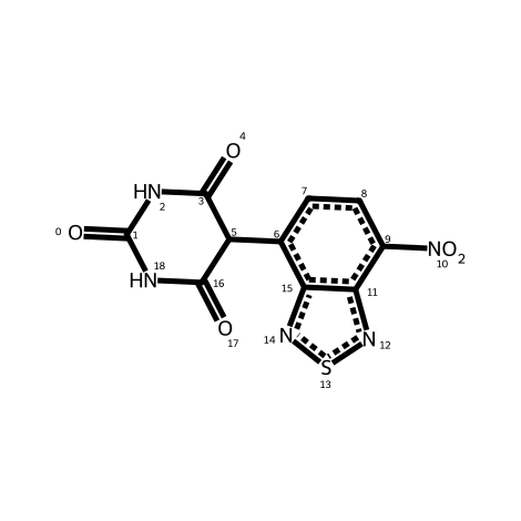 O=C1NC(=O)C(c2ccc([N+](=O)[O-])c3nsnc23)C(=O)N1